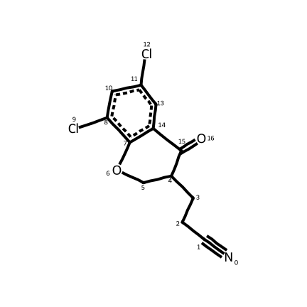 N#CCCC1COc2c(Cl)cc(Cl)cc2C1=O